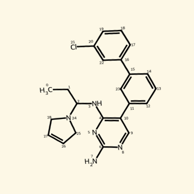 CCC(Nc1nc(N)ncc1-c1cccc(-c2cccc(Cl)c2)c1)N1CC=CC1